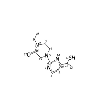 CCN1CCN(c2nccc(C(C)S)n2)CC1=O